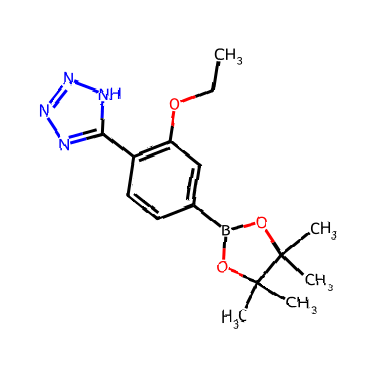 CCOc1cc(B2OC(C)(C)C(C)(C)O2)ccc1-c1nnn[nH]1